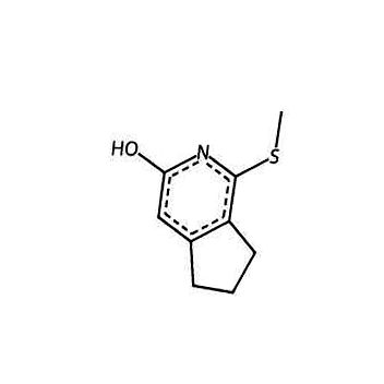 CSc1nc(O)cc2c1CCC2